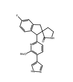 COc1nc(C2c3ccc(F)cc3CC23CCNC3=O)ccc1-c1cn[nH]c1